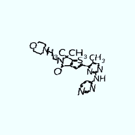 Cc1cnc(Nc2ccncn2)nc1-c1cc2c(s1)C(C)(C)N(CCN1CCOCC1)C2=O